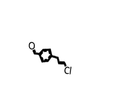 O=Cc1ccc(CC=CCl)cc1